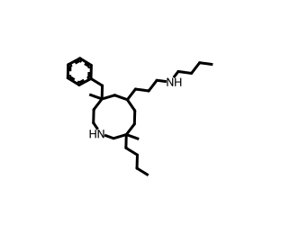 CCCCNCCCC1CCC(C)(CCCC)CNCCC(C)(Cc2ccccc2)C1